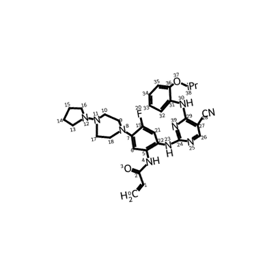 C=CC(=O)Nc1cc(N2CCN(N3CCCC3)CC2)c(F)cc1Nc1ncc(C#N)c(Nc2ccccc2OC(C)C)n1